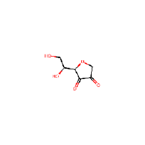 O=C1CO[C@H]([C@@H](O)CO)C1=O